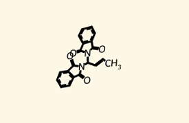 CC=CC(N1C(=O)c2ccccc2C1=O)N1C(=O)c2ccccc2C1=O